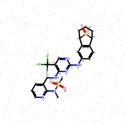 CN(c1ncccc1CNc1nc(Nc2ccc3c(c2)C2CCCC3S2(=O)=O)ncc1C(F)(F)F)S(C)(=O)=O